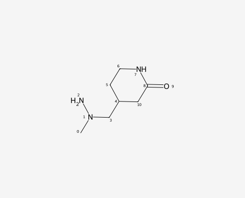 CN(N)CC1CCNC(=O)C1